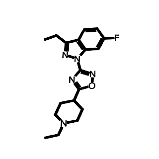 CCc1nn(-c2noc(C3CCN(CC)CC3)n2)c2cc(F)ccc12